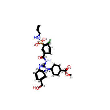 C=CCNS(=O)(=O)c1cc(C(=O)Nc2nc3ccc(CO)cc3n2C2CCC(C(=O)OC)CC2)ccc1F